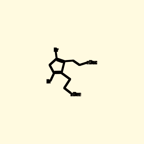 CCCCCCCCCCCCC1=C(Br)CC(Br)=C1CCCCCCCCCCCC